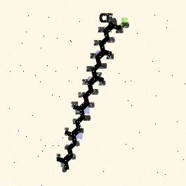 CC(C)=CCC/C(C)=C/CC/C(C)=C/CC/C=C(\C)CC/C=C(\C)CCC=C(CF)C(F)(F)F